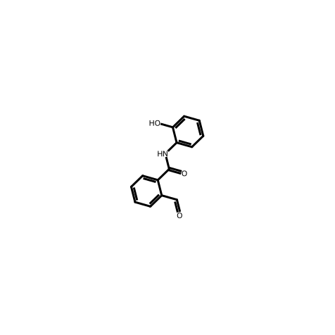 O=Cc1ccccc1C(=O)Nc1ccccc1O